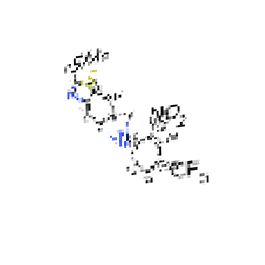 CSc1nc2ccc(CNc3ccc(C(F)(F)F)cc3[N+](=O)[O-])cc2s1